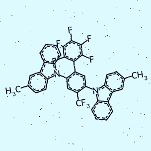 Cc1ccc2c(c1)c1ccccc1n2-c1cc(C(F)(F)F)c(-n2c3ccccc3c3cc(C)ccc32)cc1-c1c(F)c(F)c(F)c(F)c1F